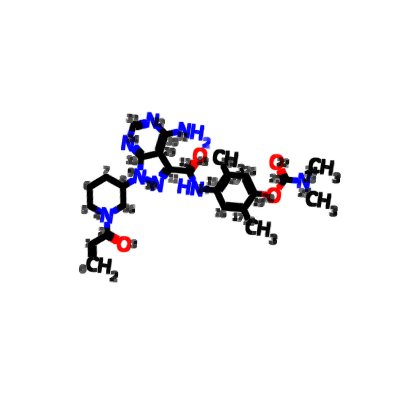 C=CC(=O)N1CCCC(n2nc(C(=O)Nc3cc(C)c(OC(=O)N(C)C)cc3C)c3c(N)ncnc32)C1